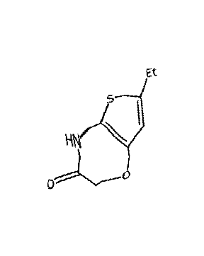 CCc1cc2c(s1)NC(=O)CO2